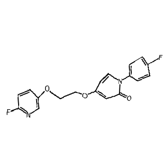 O=c1cc(OCCOc2ccc(F)nc2)ccn1-c1ccc(F)cc1